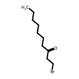 CCCCCCCC(=O)CCBr